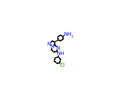 Nc1ccc(-c2cnn3ccc(Nc4cccc(Cl)c4)nc23)cc1